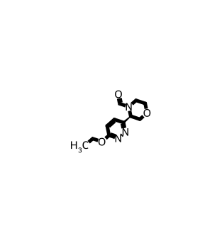 CCOc1ccc([C@@H]2COCCN2C=O)nn1